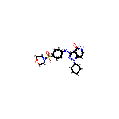 O=c1[nH]ccc2c1c(Nc1ccc(S(=O)(=O)N3CCOCC3)cc1)nn2C1CCCCC1